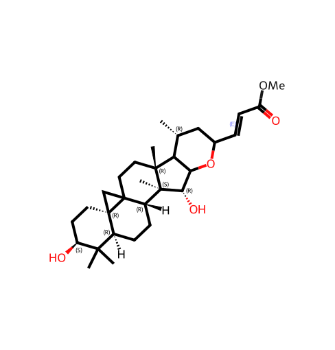 COC(=O)/C=C/C1C[C@@H](C)C2C(O1)[C@H](O)[C@@]1(C)[C@@H]3CC[C@H]4C(C)(C)[C@@H](O)CC[C@@]45CC35CC[C@]21C